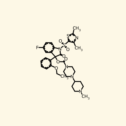 CCOc1ccccc1C1(OC(=O)N2CCN(C3CCN(C)CC3)CC2)C(=O)N(S(=O)(=O)c2sc(C)nc2C)c2ccc(F)cc21